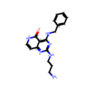 NCCCNc1nc(NCc2ccccc2)c2c(=O)[nH]ccc2n1